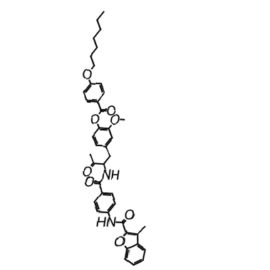 CCCCCCCOc1ccc(C(=O)Oc2ccc(CC(NC(=O)c3ccc(NC(=O)c4oc5ccccc5c4C)cc3)C(C)=O)cc2OC)cc1